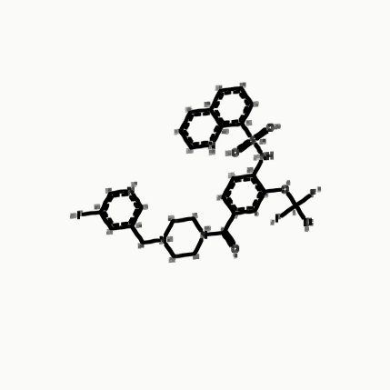 CCC(F)(F)Oc1cc(C(=O)N2CCN(Cc3cncc(F)c3)CC2)ccc1NS(=O)(=O)c1cccc2cccnc12